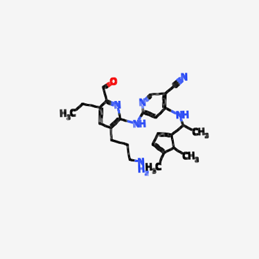 CCc1cc(CCCN)c(Nc2cc(NC(C)C3=CC=C(C)C3C)c(C#N)cn2)nc1C=O